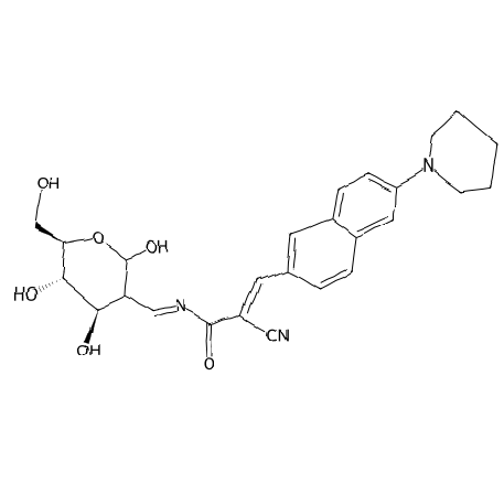 N#C/C(=C\c1ccc2cc(N3CCCCC3)ccc2c1)C(=O)N=CC1C(O)O[C@H](CO)[C@@H](O)[C@@H]1O